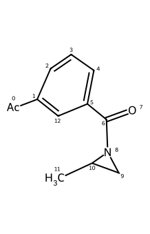 CC(=O)c1cccc(C(=O)N2CC2C)c1